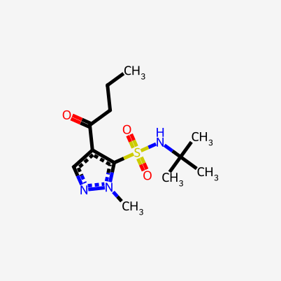 CCCC(=O)c1cnn(C)c1S(=O)(=O)NC(C)(C)C